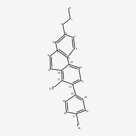 CCCc1ccc2c(ccc3c(F)c(-c4ccc(F)cc4)ccc32)c1